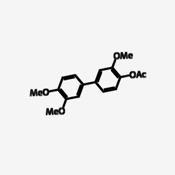 COc1ccc(-c2ccc(OC(C)=O)c(OC)c2)cc1OC